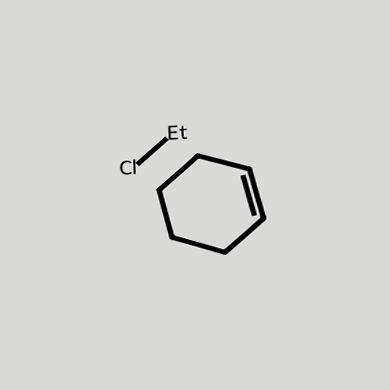 C1=CCCCC1.CCCl